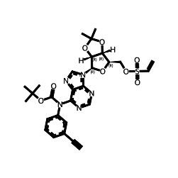 C#Cc1cccc(N(C(=O)OC(C)(C)C)c2ncnc3c2ncn3[C@@H]2O[C@H](COS(=O)(=O)C=C)[C@H]3OC(C)(C)O[C@H]32)c1